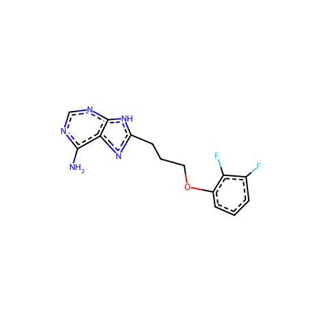 Nc1ncnc2[nH]c(CCCOc3cccc(F)c3F)nc12